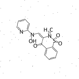 CN1/C(=C/N(O)c2ccccn2)C(=O)c2ccccc2S1(=O)=O